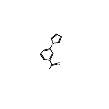 CC(=O)c1cccc(-n2cccc2)c1